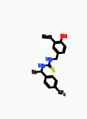 CCC(NC(=S)NCc1ccc(O)c(OC)c1)c1ccc(C(F)(F)F)cc1